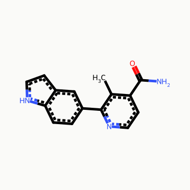 Cc1c(C(N)=O)ccnc1-c1ccc2[nH]ccc2c1